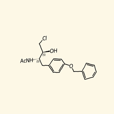 CC(=O)N[C@@H](Cc1ccc(OCc2ccccc2)cc1)[C@H](O)CCl